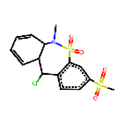 CN1C2C=CC=CC2C(Cl)c2ccc(S(C)(=O)=O)cc2S1(=O)=O